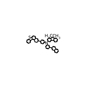 CC1(C)c2ccccc2-c2cc(N(c3ccc(C4=Cc5ccc6sc7ccccc7c6c5CC4)cc3)c3cccc(-c4ccc5ccccc5c4)c3)ccc21